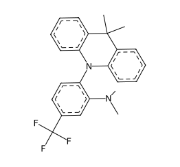 CN(C)c1cc(C(F)(F)F)ccc1N1c2ccccc2C(C)(C)c2ccccc21